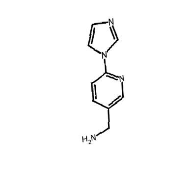 NCc1ccc(-n2ccnc2)nc1